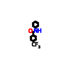 O=C(Nc1ccccc1)c1ccc(C(F)(F)F)cc1